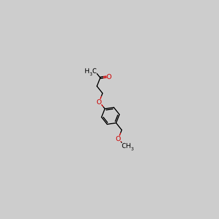 COCc1ccc(OCCC(C)=O)cc1